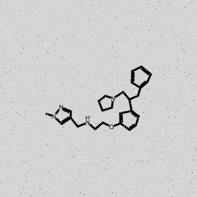 Cn1cc(CNCCOc2cccc(C(Cc3ccccc3)CN3CCCC3)c2)cn1